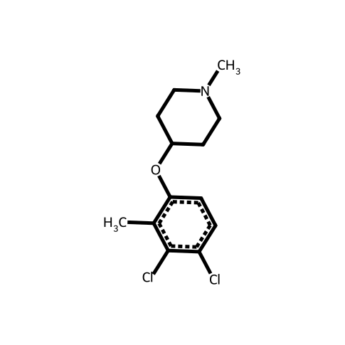 Cc1c(OC2CCN(C)CC2)ccc(Cl)c1Cl